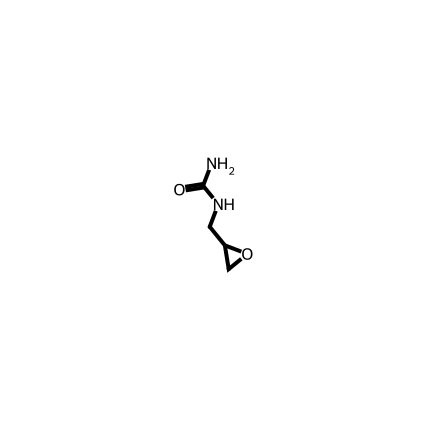 NC(=O)NCC1CO1